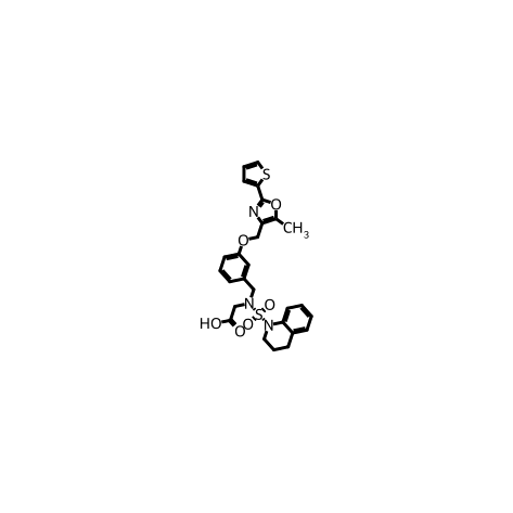 Cc1oc(-c2cccs2)nc1COc1cccc(CN(CC(=O)O)S(=O)(=O)N2CCCc3ccccc32)c1